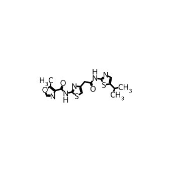 Cc1ocnc1C(=O)Nc1nc(CC(=O)Nc2ncc(C(C)C)s2)cs1